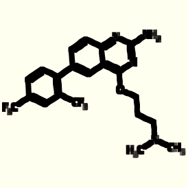 CN(C)CCCOc1nc(N)nc2ccc(-c3ccc(C(F)(F)F)cc3C(F)(F)F)cc12